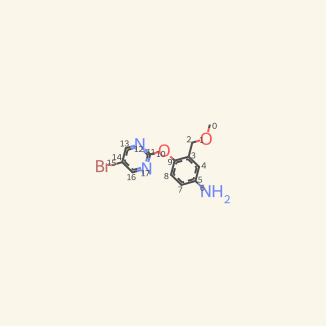 COCc1cc(N)ccc1Oc1ncc(Br)cn1